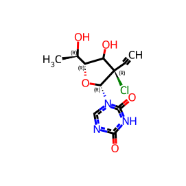 C#C[C@@]1(Cl)C(O)[C@@H]([C@@H](C)O)O[C@H]1n1cnc(=O)[nH]c1=O